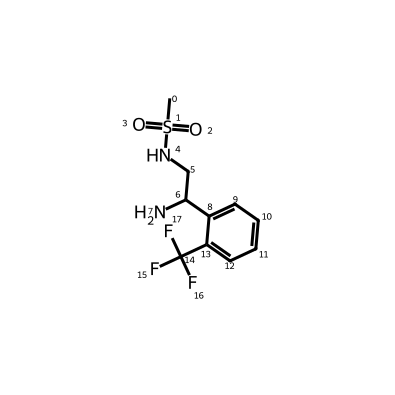 CS(=O)(=O)NCC(N)c1ccccc1C(F)(F)F